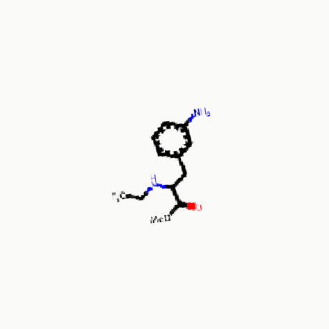 COC(=O)C(Cc1cccc(N)c1)NCC(F)(F)F